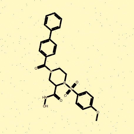 COc1ccc(S(=O)(=O)N2CCN(C(=O)c3ccc(-c4ccccc4)cc3)CC2C(=O)NO)cc1